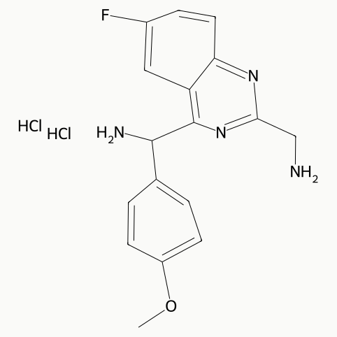 COc1ccc(C(N)c2nc(CN)nc3ccc(F)cc23)cc1.Cl.Cl